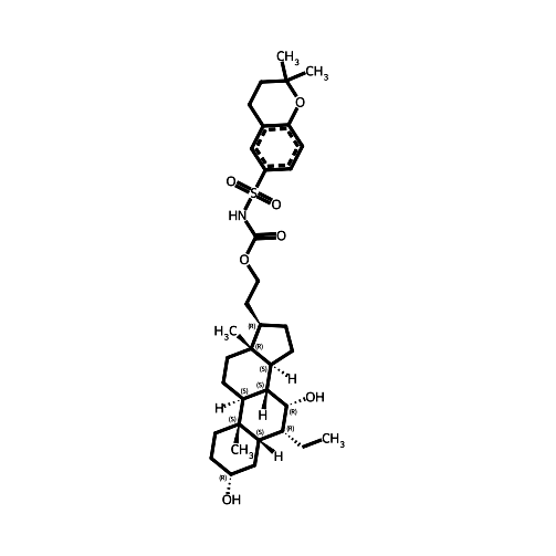 CC[C@H]1[C@@H](O)[C@@H]2[C@H](CC[C@]3(C)[C@@H](CCOC(=O)NS(=O)(=O)c4ccc5c(c4)CCC(C)(C)O5)CC[C@@H]23)[C@@]2(C)CC[C@@H](O)C[C@@H]12